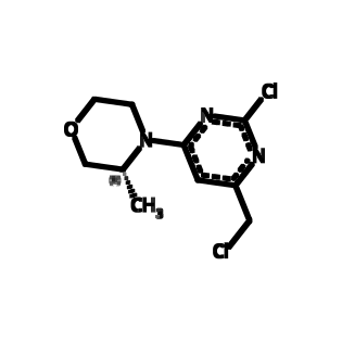 C[C@@H]1COCCN1c1cc(CCl)nc(Cl)n1